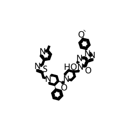 COc1ccc(-n2ncc3c(=O)n(CC4(O)CCN(C(=O)[C@@H]5CCN(Cc6cnc(-c7ccc(C)nc7)s6)C[C@H]5c5ccccc5)CC4)cnc32)cc1